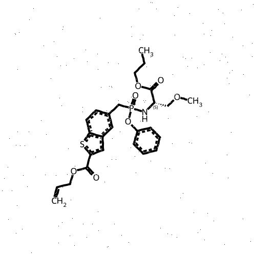 C=CCOC(=O)c1cc2cc(CP(=O)(N[C@@H](COC)C(=O)OCCC)Oc3ccccc3)ccc2s1